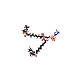 C[N+](C)(C)CCOP(=O)([O-])OCC(COC(=O)CCCCCCCCC[Si](C)(C)O[Si](C)(C)O[Si](C)(C)C)OC(=O)CCCCCCCCC[Si](C)(C)O[Si](C)(C)O[Si](C)(C)C